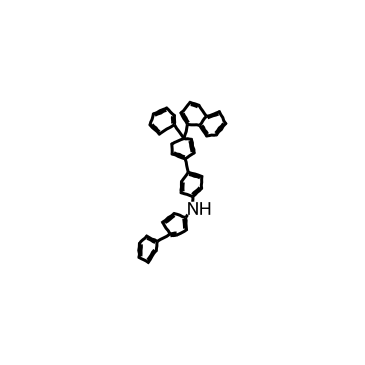 C1=CC(c2ccccc2)(c2cccc3ccccc23)CC=C1c1ccc(Nc2ccc(-c3ccccc3)cc2)cc1